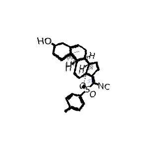 [C-]#[N+]/C(=C1\CC[C@H]2[C@@H]3CC=C4CC(O)CC[C@]4(C)[C@H]3CC[C@]12C)S(=O)(=O)c1ccc(C)cc1